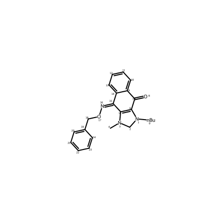 CCCCN1CN(C)C2=C1C(=O)c1ccccc1/C2=N/OCc1ccccc1